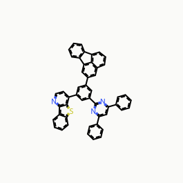 c1ccc(-c2cc(-c3ccccc3)nc(-c3cc(-c4cc5c6c(cccc6c4)-c4ccccc4-5)cc(-c4ccnc5c4sc4ccccc45)c3)n2)cc1